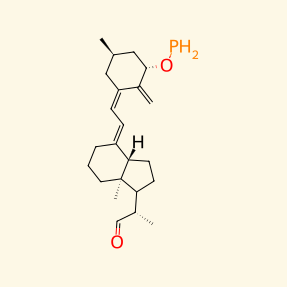 C=C1/C(=C\C=C2/CCC[C@]3(C)C([C@H](C)C=O)CC[C@@H]23)C[C@@H](C)C[C@@H]1OP